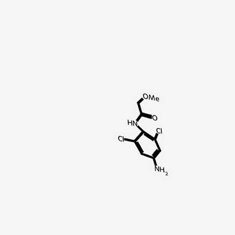 COCC(=O)Nc1c(Cl)cc(N)cc1Cl